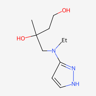 CCN(CC(C)(O)CCO)c1cc[nH]n1